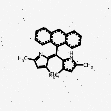 CC1=CC(C)=NC1=C(c1[nH]c(C)cc1C)c1c2ccccc2cc2ccccc12